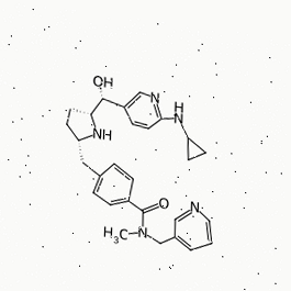 CN(Cc1cccnc1)C(=O)c1ccc(C[C@@H]2CC[C@H]([C@H](O)c3ccc(NC4CC4)nc3)N2)cc1